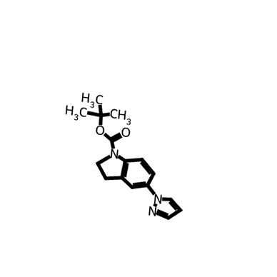 CC(C)(C)OC(=O)N1CCc2cc(-n3cccn3)ccc21